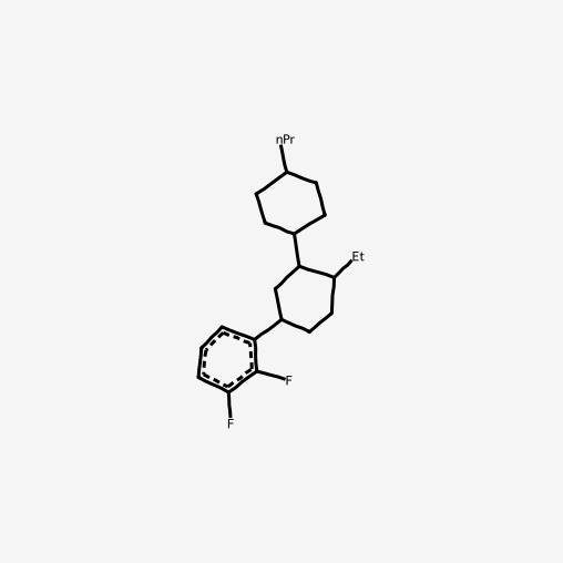 CCCC1CCC(C2CC(c3cccc(F)c3F)CCC2CC)CC1